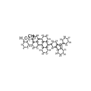 CC1(C)c2ccccc2-c2ccc(-c3c4ccccc4c(-c4ccc5c(c4)c4ccccc4p5-c4ccccc4)c4ccccc34)c3cccc1c23